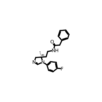 C[C@@]1(CCNC(=O)Cc2ccccc2)CN=CN1c1ccc(F)cc1